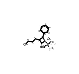 CC(C)(C)[Si](C)(C)[N+]1([O-])CC(CCCCl)C1c1ccccc1